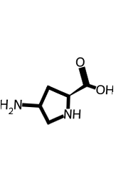 NC1CN[C@H](C(=O)O)C1